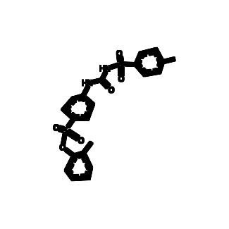 Cc1ccc(S(=O)(=O)NC(=O)Nc2ccc(S(=O)(=O)Oc3ccccc3C)cc2)cc1